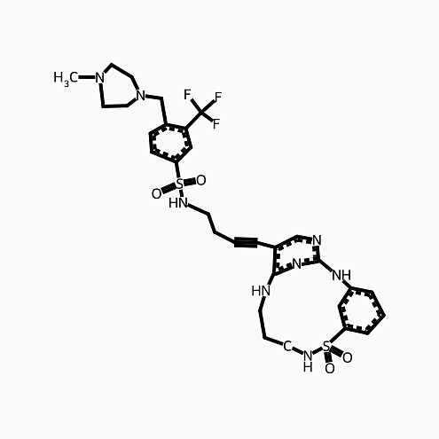 CN1CCN(Cc2ccc(S(=O)(=O)NCCC#Cc3cnc4nc3NCCCNS(=O)(=O)c3cccc(c3)N4)cc2C(F)(F)F)CC1